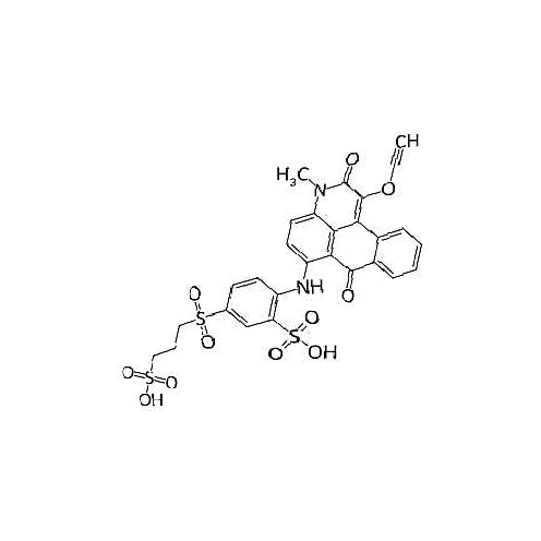 C#COc1c2c3c(c(Nc4ccc(S(=O)(=O)CCCS(=O)(=O)O)cc4S(=O)(=O)O)ccc3n(C)c1=O)C(=O)c1ccccc1-2